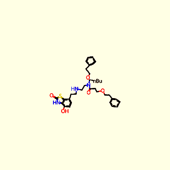 CCCC[C@H](OCCc1ccccc1)N(CCNCCc1ccc(O)c2[nH]c(=O)sc12)C(=O)CCOCCc1ccccc1